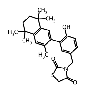 Cc1cc2c(cc1-c1cc(CN3C(=O)CSC3=O)ccc1O)C(C)(C)CCC2(C)C